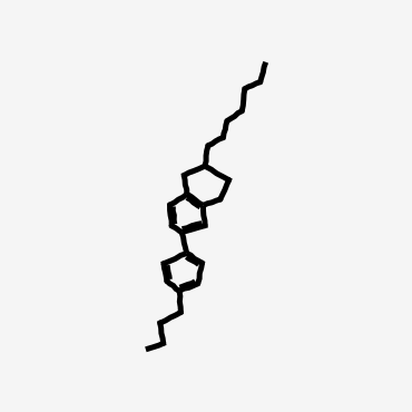 CCCCCCCC1CCc2cc(-c3ccc(CCCC)cc3)ccc2C1